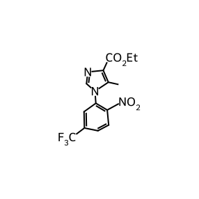 CCOC(=O)c1ncn(-c2cc(C(F)(F)F)ccc2[N+](=O)[O-])c1C